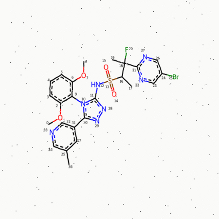 COc1cccc(OC)c1-n1c(NS(=O)(=O)C(C)C(C)(F)c2ncc(Br)cn2)nnc1-c1cncc(C)c1